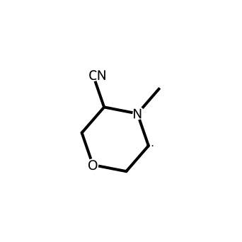 CN1[CH]COCC1C#N